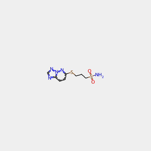 NS(=O)(=O)CCCSc1ccc2ncnn2n1